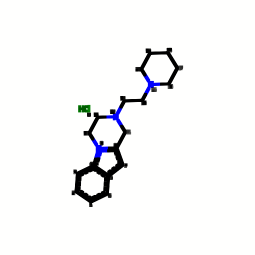 Cl.c1ccc2c(c1)cc1n2CCN(CCN2CCCCC2)C1